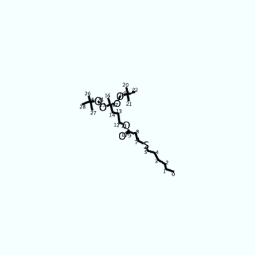 CCCCCCSCCC(=O)OCCCC(C)(OOC(C)(C)C)OOC(C)(C)C